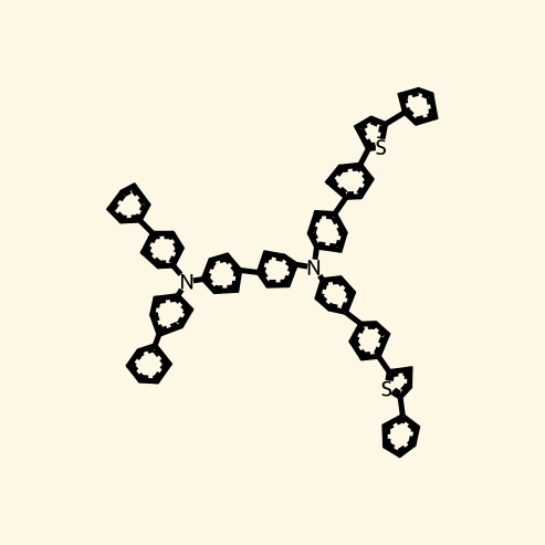 c1ccc(-c2ccc(N(c3ccc(-c4ccccc4)cc3)c3ccc(-c4ccc(N(c5ccc(-c6ccc(-c7ccc(-c8ccccc8)s7)cc6)cc5)c5ccc(-c6ccc(-c7ccc(-c8ccccc8)s7)cc6)cc5)cc4)cc3)cc2)cc1